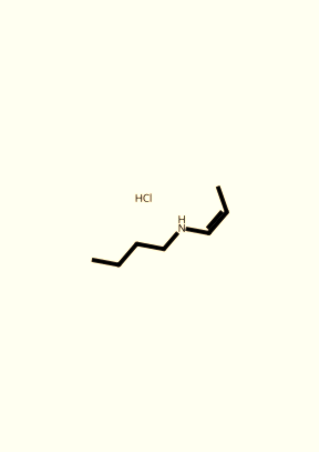 C/C=C\NCCCC.Cl